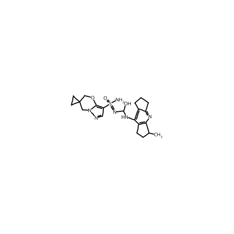 CC1CCc2c1nc1c(c2NC(O)N=S(N)(=O)c2cnn3c2OCC2(CC2)C3)CCC1